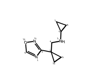 c1nc(C2(CNC3CC3)CC2)no1